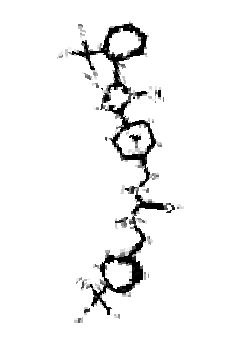 Cn1c(-c2ccccc2C(F)(F)F)nnc1C12CCC(CNC(=O)NCc3ccc(C(F)(F)F)cc3)(CC1)CC2